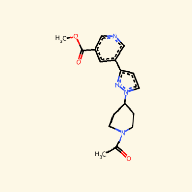 COC(=O)c1cncc(-c2ccn(C3CCN(C(C)=O)CC3)n2)c1